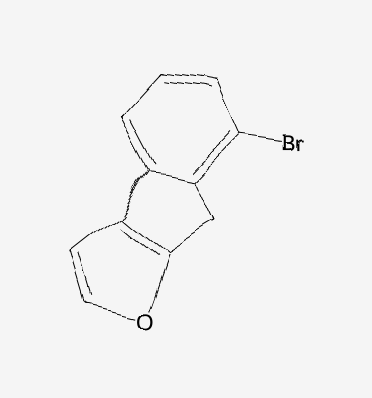 Brc1cccc2c1Cc1occc1-2